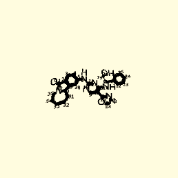 O=C1c2ccc(Nc3ncc(-c4nnco4)c(N[C@H](CO)c4ccccc4)n3)cc2C2CC=CCCN12